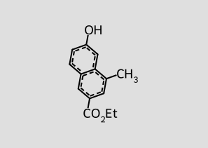 CCOC(=O)c1cc(C)c2cc(O)ccc2c1